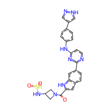 O=C(c1cc2ccc(-c3nccc(Nc4ccc(-c5cn[nH]c5)cc4)n3)cc2[nH]1)N1CC(N[SH](=O)=O)C1